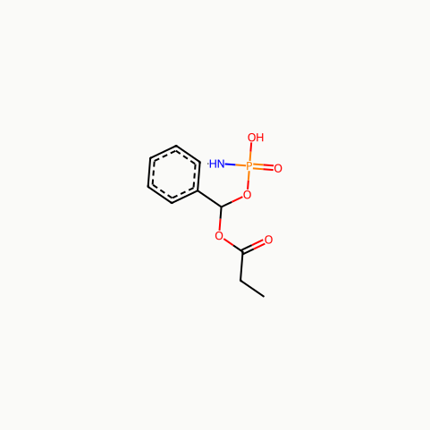 CCC(=O)OC(OP([NH])(=O)O)c1ccccc1